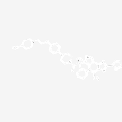 CN1CCN(CCOc2ccc(N3CCN(C(=O)[C@@](C)(c4ccccc4)n4ncc5c4nc(N)n4nc(-c6ccco6)nc54)CC3)cc2)CC1